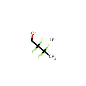 [Li+].[O-]CC(F)(F)C(F)(F)C(F)(F)F